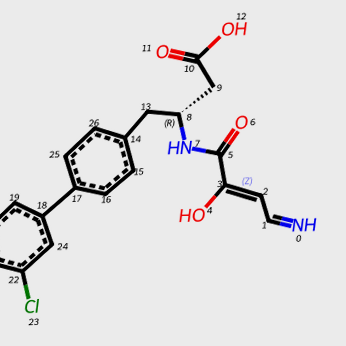 N=C/C=C(\O)C(=O)N[C@@H](CC(=O)O)Cc1ccc(-c2cccc(Cl)c2)cc1